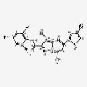 O=C(Nc1c(F)cc(F)cc1Br)c1nn2c(C(F)(F)F)cc(-c3cc(Br)cs3)nc2c1Br